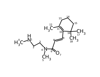 CNCCN(C)C(=O)C=CC1=C(C)CCCC1(C)C